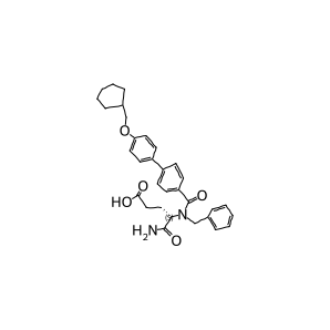 NC(=O)[C@H](CCC(=O)O)N(Cc1ccccc1)C(=O)c1ccc(-c2ccc(OCC3CCCCC3)cc2)cc1